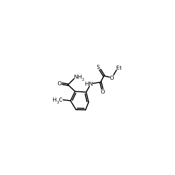 CCOC(=S)C(=O)Nc1cccc(C)c1C(N)=O